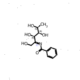 C[C@H](O)[C@@H](O)[C@H](O)/C(CO)=N/C(=O)c1ccccc1